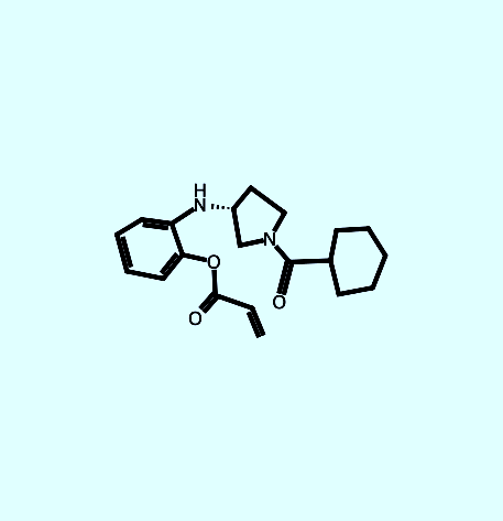 C=CC(=O)Oc1ccccc1N[C@@H]1CCN(C(=O)C2CCCCC2)C1